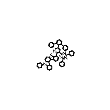 c1ccc(-c2nc(-c3ccccc3)nc(-c3cc(-c4c(-c5ccccc5)cccc4-c4ccccc4)cnc3-c3cccc4c3sc3ccc5c(c6ccccc6n5-c5ccccc5)c34)n2)cc1